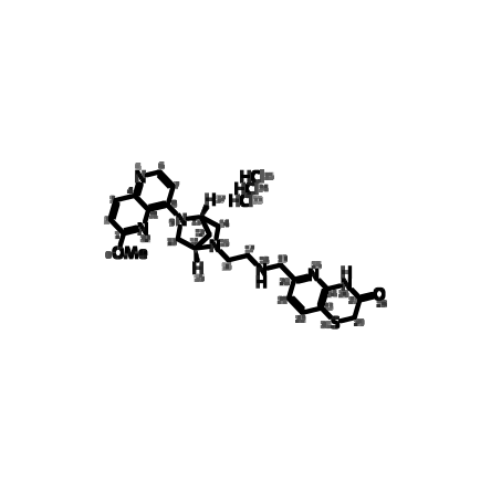 COc1ccc2nccc(N3C[C@@H]4C[C@H]3CN4CCNCc3ccc4c(n3)NC(=O)CS4)c2n1.Cl.Cl.Cl